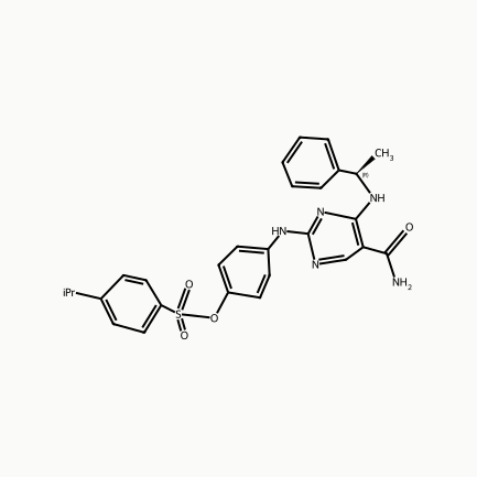 CC(C)c1ccc(S(=O)(=O)Oc2ccc(Nc3ncc(C(N)=O)c(N[C@H](C)c4ccccc4)n3)cc2)cc1